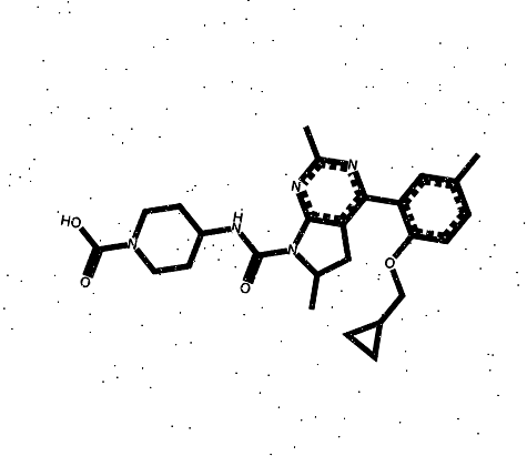 Cc1ccc(OCC2CC2)c(-c2nc(C)nc3c2CC(C)N3C(=O)NC2CCN(C(=O)O)CC2)c1